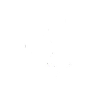 Cc1cc(CCCS)cc(C)c1S(=O)(=O)ONC(=O)OC(C)(C)C